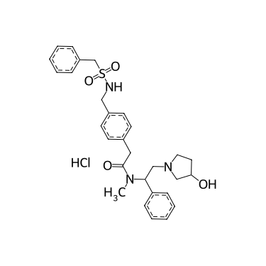 CN(C(=O)Cc1ccc(CNS(=O)(=O)Cc2ccccc2)cc1)C(CN1CCC(O)C1)c1ccccc1.Cl